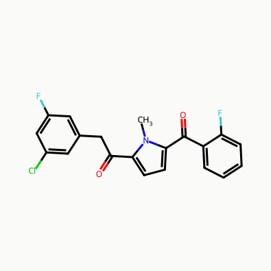 Cn1c(C(=O)Cc2cc(F)cc(Cl)c2)ccc1C(=O)c1ccccc1F